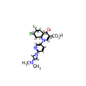 CN(C)C1CN(c2ccc(-n3cc(C(=O)O)c(=O)c4cc(F)c(F)cc43)cn2)C1